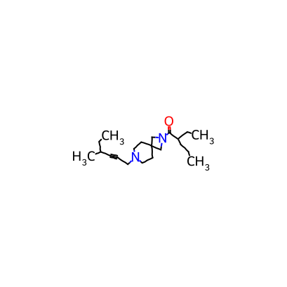 CCCC(CC)C(=O)N1CC2(CCN(CC#CC(C)CC)CC2)C1